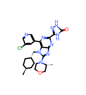 C[C@@H]1COCCN1c1nc2nc(-c3n[nH]c(=O)[nH]3)nc(-c3cncc(Cl)c3)c2n1C[C@H]1CC[C@H](C)CC1